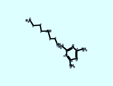 NCCCNCCN.Nc1nc(N)nc(N)n1